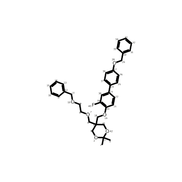 CC1(C)OCC(COCCOCc2ccccc2)(COc2ccc(-c3ccc(OCc4ccccc4)cc3)cc2F)CO1